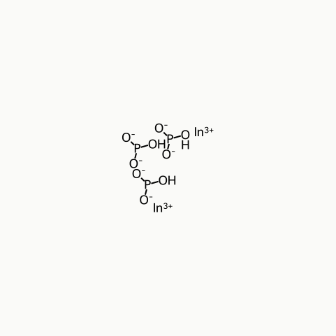 [In+3].[In+3].[O-]P([O-])O.[O-]P([O-])O.[O-]P([O-])O